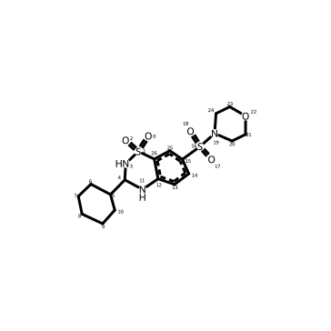 O=S1(=O)NC(C2CCCCC2)Nc2ccc(S(=O)(=O)N3CCOCC3)cc21